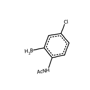 Bc1cc(Cl)ccc1NC(C)=O